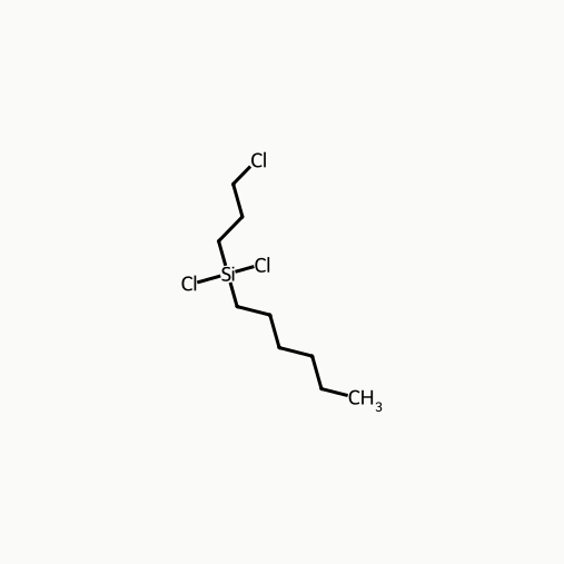 CCCCCC[Si](Cl)(Cl)CCCCl